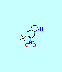 CC(C)(C)c1cc2cc[nH]c2cc1[N+](=O)[O-]